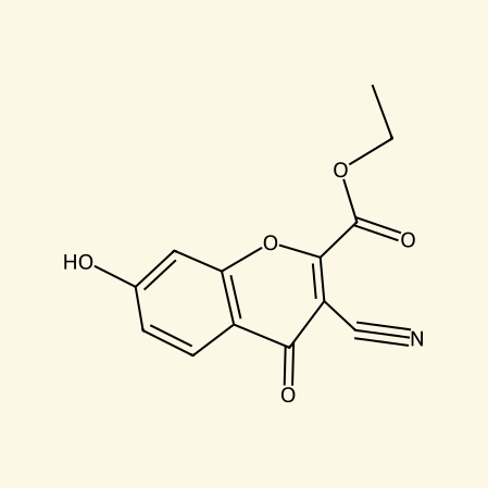 CCOC(=O)c1oc2cc(O)ccc2c(=O)c1C#N